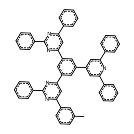 Cc1cccc(-c2cc(-c3cc(-c4cc(-c5ccccc5)nc(-c5ccccc5)c4)cc(-c4cc(-c5ccccc5)nc(-c5ccccc5)n4)c3)nc(-c3ccccc3)n2)c1